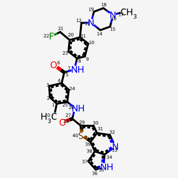 Cc1ccc(C(=O)Nc2ccc(CN3CCN(C)CC3)c(CF)c2)cc1NC(=O)c1cc2cnc3[nH]ccc3c2s1